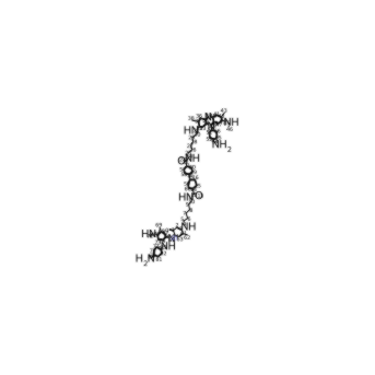 C=C1C=C(NCCCCCCNC(=O)c2ccc(-c3ccc(C(=O)NCCCCCCNc4cc5c(cc4C)nc4cc(C)c(NC)cc4[n+]5-c4ccc(N)cc4)cc3)cc2)C(C)=C/C1=N/c1cc(C)c(NC)cc1Nc1ccc(N)cc1